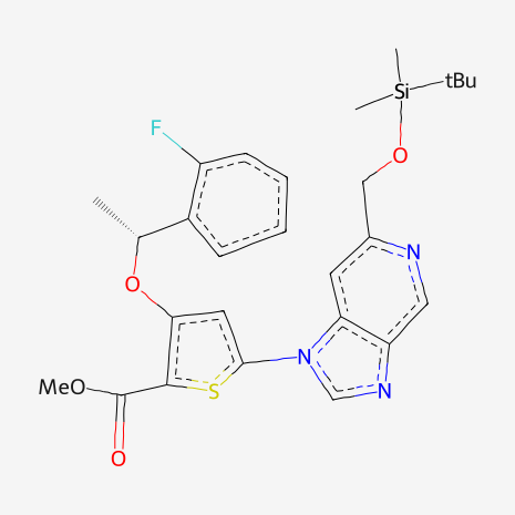 COC(=O)c1sc(-n2cnc3cnc(CO[Si](C)(C)C(C)(C)C)cc32)cc1O[C@H](C)c1ccccc1F